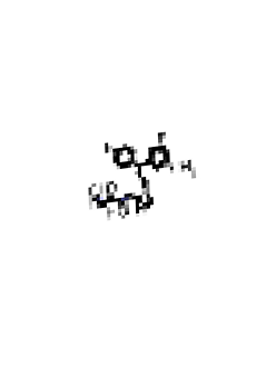 C/N=C\C(=O)/C(O)=C/c1nccn1CC[C@@H](c1ccc(F)cc1)c1cc(C)cc(F)c1